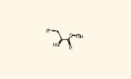 [CH2]C(C)CC(=N)C(=O)OC(C)(C)C